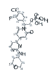 O=c1cc(-c2ccnc(NC3CCOCC3)n2)ccn1C(COP(=O)(O)O)c1ccc(Cl)c(F)c1